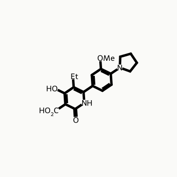 CCc1c(-c2ccc(N3CCCC3)c(OC)c2)[nH]c(=O)c(C(=O)O)c1O